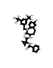 O=C(NC1(C(=O)NC2CCc3cc(F)ccc3N(Cc3cc(C(F)(F)F)cc(C(F)(F)F)c3)C2=O)CC1)c1ccccc1